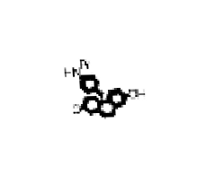 CC(C)Nc1ccc(C[C@@]23CCC(=O)C=C2CCc2cc(O)ccc23)cc1